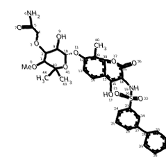 COC1C(OCC(N)=O)C(O)[C@H](Oc2ccc3c(O)c(NS(=O)(=O)c4cccc(-c5ccccc5)c4)c(=O)oc3c2C)OC1(C)C